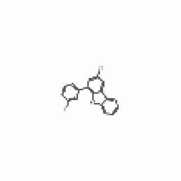 Fc1cccc(-c2cc(Cl)cc3c2oc2ccccc23)c1